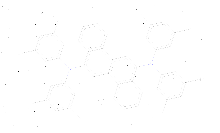 Cc1cc(C)cc(N(c2cc(C)cc(C(C)C)c2)c2cc3c4ccccc4c(N(c4cc(C)cc(C)c4)c4cc(C)cc(C(C)(C)C)c4)cc3c3ccccc23)c1